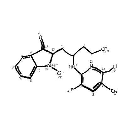 N#Cc1cc(F)c(NC(CCC(F)(F)F)CC2C(=O)c3ccccc3[NH+]2[O-])nc1Cl